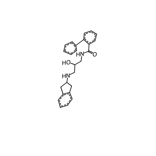 O=C(NCC(O)CNC1Cc2ccccc2C1)c1ccccc1-c1ccccc1